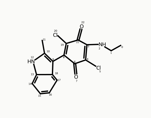 CCNC1=C(Cl)C(=O)C(c2c(C)[nH]c3ccccc23)=C(Cl)C1=O